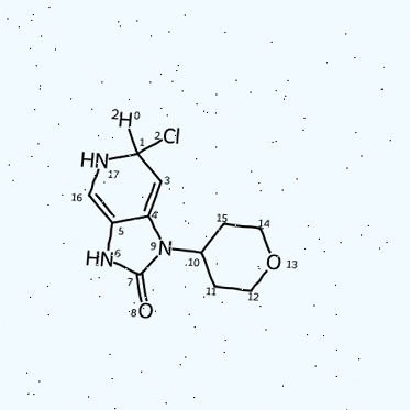 [2H]C1(Cl)C=c2c([nH]c(=O)n2C2CCOCC2)=CN1